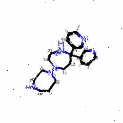 c1cncc(C2(c3cccnc3)CCN(N3CCCNCC3)CCN2)c1